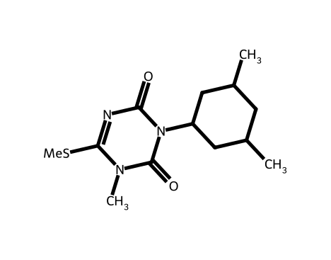 CSc1nc(=O)n(C2CC(C)CC(C)C2)c(=O)n1C